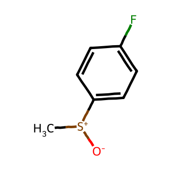 C[S+]([O-])c1ccc(F)cc1